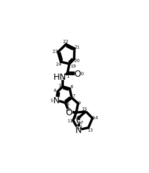 O=C(Nc1cnc2c(c1)CC1(CN3CCC1CC3)O2)c1ccccc1